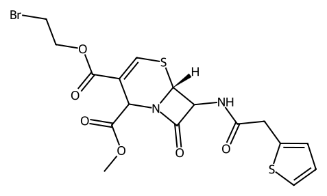 COC(=O)C1C(C(=O)OCCBr)=CS[C@@H]2C(NC(=O)Cc3cccs3)C(=O)N12